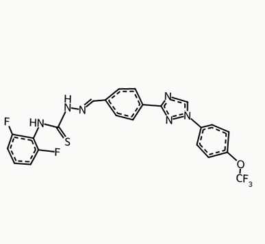 Fc1cccc(F)c1NC(=S)NN=Cc1ccc(-c2ncn(-c3ccc(OC(F)(F)F)cc3)n2)cc1